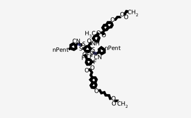 C=CC(=O)OCCCCCCOc1ccc2cc(CCC(=O)Oc3ccc(C(F)(F)Oc4c5c(c(C(=O)Nc6ccc(OC(=O)c7ccc8cc(OCCCOC(=O)C=C)ccc8c7)c(C)c6)c6c4S/C(=C(/C#N)c4ccc(CCCCC)cc4)S6)S/C(=C(/C#N)c4ccc(CCCCC)cc4)S5)c(F)c3F)ccc2c1